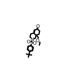 CCOCC12CCC(=O)C=C1CCN(S(=O)(=O)c1ccc(C(C)(C)C)cc1)C2